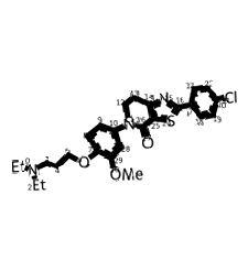 CCN(CC)CCCOc1ccc(N2CCc3nc(-c4ccc(Cl)cc4)sc3C2=O)cc1OC